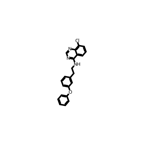 Clc1cccc2c(NCCc3cccc(Oc4ccccc4)c3)ncnc12